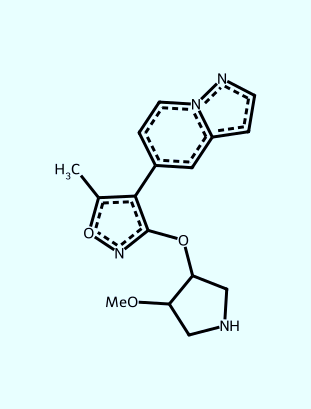 COC1CNCC1Oc1noc(C)c1-c1ccn2nccc2c1